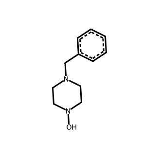 ON1CCN(Cc2ccccc2)CC1